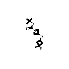 CC(C)(C)OC(=O)N1CC(OC2CC(F)(F)C2)C1